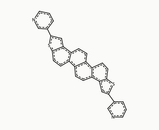 c1cncc(-c2cc3c(ccc4c3ccc3c5ccc6sc(-c7cccnc7)cc6c5ccc43)s2)c1